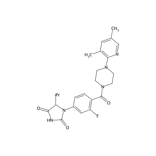 Cc1cnc(N2CCN(C(=O)c3ccc(N4C(=O)NC(=O)C4C(C)C)cc3F)CC2)c(C)c1